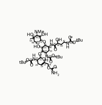 CN[C@@H]1[C@@H](O)[C@@H](O[C@@H]2[C@@H](O)[C@H](O[C@H]3OC(COC(N)=O)=CC[C@H]3NC(=O)OC(C)(C)C)[C@@H](NC(=O)OC(C)(C)C)C[C@H]2NC(=O)C(O)CCNC(=O)OC(C)(C)C)OC[C@]1(C)O